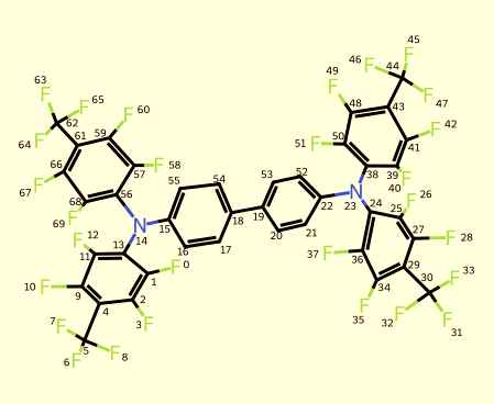 Fc1c(F)c(C(F)(F)F)c(F)c(F)c1N(c1ccc(-c2ccc(N(c3c(F)c(F)c(C(F)(F)F)c(F)c3F)c3c(F)c(F)c(C(F)(F)F)c(F)c3F)cc2)cc1)c1c(F)c(F)c(C(F)(F)F)c(F)c1F